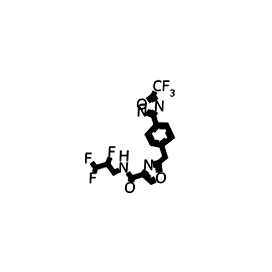 O=C(NCC(F)C(F)F)c1coc(Cc2ccc(-c3noc(C(F)(F)F)n3)cc2)n1